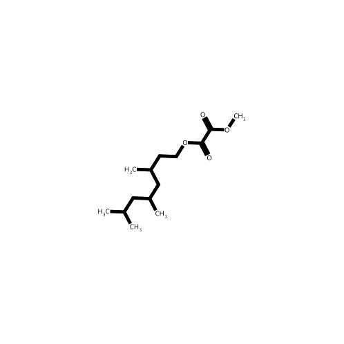 COC(=O)C(=O)OCCC(C)CC(C)CC(C)C